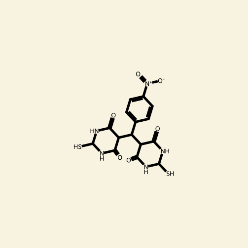 O=C1NC(S)NC(=O)C1C(c1ccc([N+](=O)[O-])cc1)C1C(=O)NC(S)NC1=O